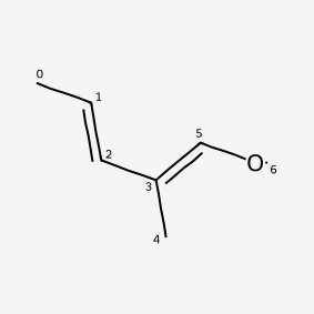 CC=CC(C)=C[O]